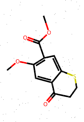 COC(=O)c1cc2c(cc1OC)C(=O)CCS2